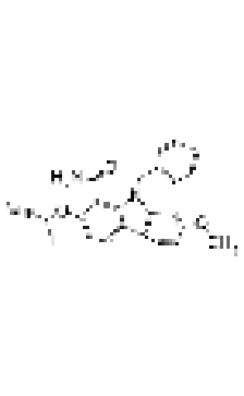 COc1ccc2c3ccc(OC(I)C#N)c(C(N)=O)c3n(Cc3ccccc3)c2c1